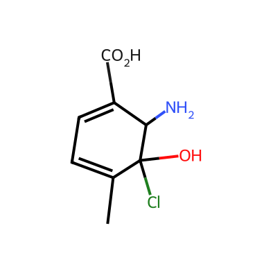 CC1=CC=C(C(=O)O)C(N)C1(O)Cl